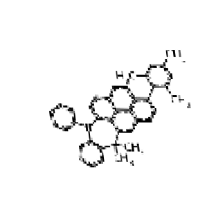 Cc1cc(C)c(-c2ccc3cc4c5c(ccc6ccc2c3c65)B(c2ccccc2)c2ccccc2C4(C)C)c(C)c1